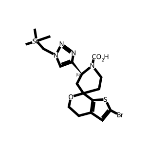 C[Si](C)(C)Cn1cc([C@@H]2CC3(CCN2C(=O)O)OCCc2cc(Br)sc23)nn1